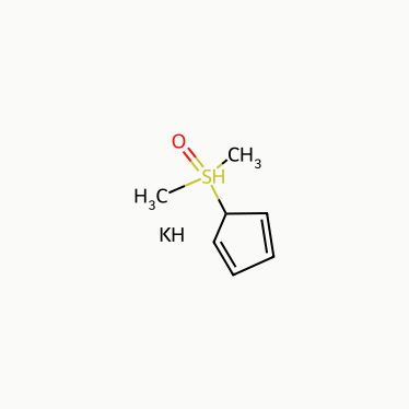 C[SH](C)(=O)C1C=CC=C1.[KH]